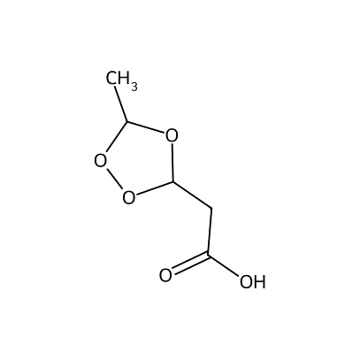 CC1OOC(CC(=O)O)O1